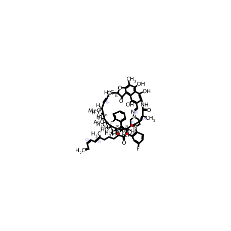 C=C/C=C\C=C(/C)CCCC(NC(=O)c1ccccc1F)C(=O)Nc1cc(F)ccc1N1CCN(/N=C/c2c3c(O)c4c(O)c(C)c5c(c4c2O)C(=O)[C@@](C)(O/C=C/[C@H](OC)[C@@H](C)[C@@H](OC(C)=O)[C@H](C)[C@H](O)[C@H](C)[C@@H](O)[C@@H](C)/C=C/C=C(/C)C(=O)N3)O5)CC1